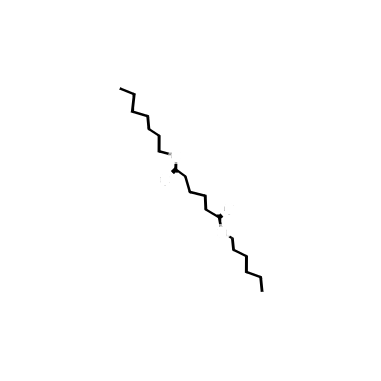 CCCCCCCOC(=O)CCCCC(=O)OCCCCCC